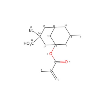 C=C(C)C(=O)OC12CC(C)CC(C1)CC(CC)(C(=O)O)C2